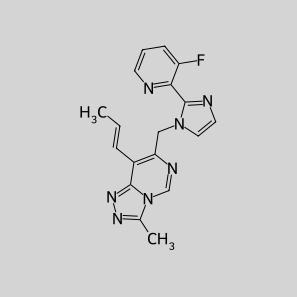 C/C=C/c1c(Cn2ccnc2-c2ncccc2F)ncn2c(C)nnc12